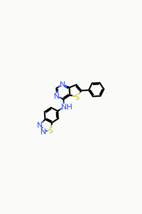 c1ccc(-c2cc3ncnc(Nc4ccc5nnsc5c4)c3s2)cc1